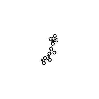 CC1(C)c2ccccc2-c2c1ccc1c2c2ccccc2n1-c1ccc2c3ccc(-c4ccc5c(c4)c4cccc6c7ccccc7c(=O)n5c64)cc3c3ccccc3c2c1